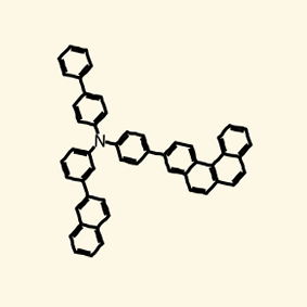 c1ccc(-c2ccc(N(c3ccc(-c4ccc5c(ccc6ccc7ccccc7c65)c4)cc3)c3cccc(-c4ccc5ccccc5c4)c3)cc2)cc1